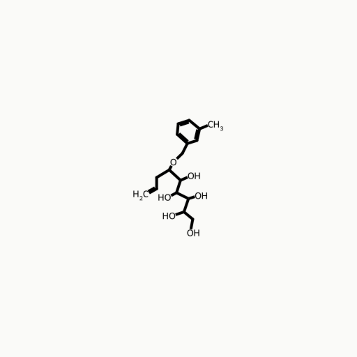 C=CCC(OCc1cccc(C)c1)C(O)C(O)C(O)C(O)CO